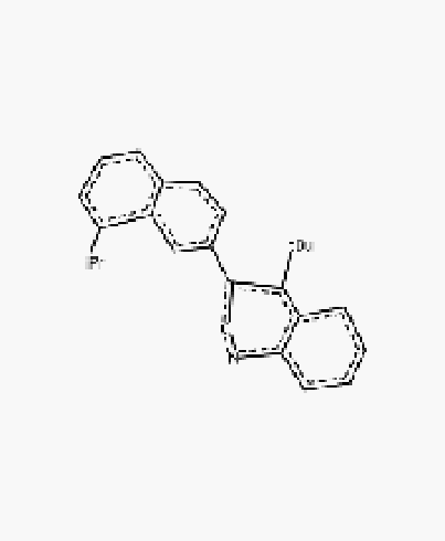 CC(C)c1cccc2ccc(-c3cnc4ccccc4c3C(C)(C)C)cc12